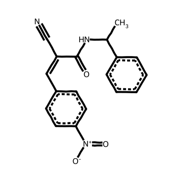 CC(NC(=O)C(C#N)=Cc1ccc([N+](=O)[O-])cc1)c1ccccc1